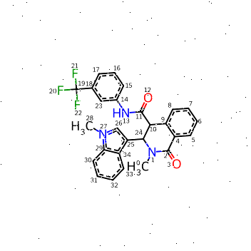 CN1C(=O)c2ccccc2C(C(=O)Nc2cccc(C(F)(F)F)c2)C1c1cn(C)c2ccccc12